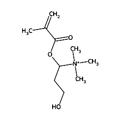 C=C(C)C(=O)OC(CCO)[N+](C)(C)C